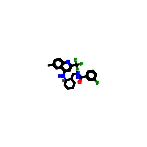 Cc1ccc2nc(C(F)(F)F)cc(N[C@H]3CCCCC3CNC(=O)c3cccc(F)c3)c2c1